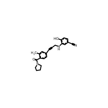 Cc1cc(C#CCNc2cc(C#N)ccc2O)ccc1C(=O)N1CCCC1